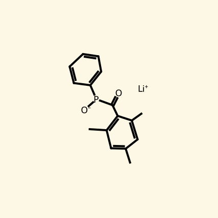 Cc1cc(C)c(C(=O)P([O-])c2ccccc2)c(C)c1.[Li+]